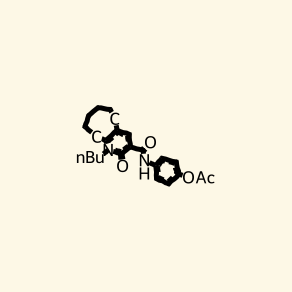 CCCCn1c2c(cc(C(=O)Nc3ccc(OC(C)=O)cc3)c1=O)CCCCCC2